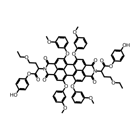 CCOCCC(C(=O)Oc1ccc(O)cc1)N1C(=O)c2cc(Oc3cccc(OC)c3)c3c4c(Oc5cccc(OC)c5)cc5c6c(cc(Oc7cccc(OC)c7)c(c7c(Oc8cccc(OC)c8)cc(c2c37)C1=O)c64)C(=O)N(C(CCOCC)C(=O)Oc1ccc(O)cc1)C5=O